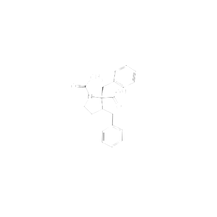 CC(=O)N1CCC(Cc2ccccc2)[C@@]1(Cc1ccccc1)C(=O)O